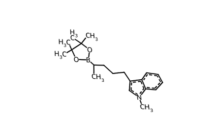 CC(CCCc1cn(C)c2ccccc12)B1OC(C)(C)C(C)(C)O1